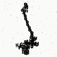 CC[C@@]1(O)C(=O)OCc2c1cc1n(c2=O)Cc2c-1nc1cc(F)c(C)c3c1c2[C@@H](NC(=O)[C@@H](OCNC(=O)CNC(=O)[C@H](Cc1ccccc1)NC(=O)CNC(=O)CNC(=O)COCCOCCOCCOCCOCCOCCOCCOCCOCCNC(=O)C1CCC(CN2C(=O)C=CC2=O)CC1)C1CC1)CC3